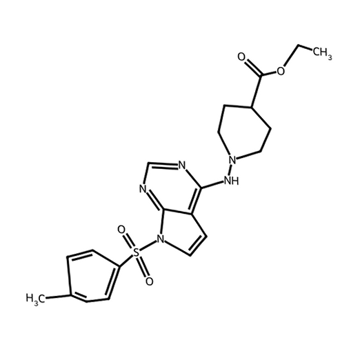 CCOC(=O)C1CCN(Nc2ncnc3c2ccn3S(=O)(=O)c2ccc(C)cc2)CC1